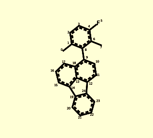 Cc1ccc(F)c(C)c1-c1ccc2c3c(cccc13)-c1ccccc1-2